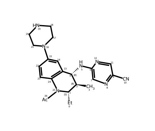 CC[C@H]1[C@H](C)[C@@H](Nc2cnc(C#N)cn2)c2cc(N3CCNCC3)ccc2N1C(C)=O